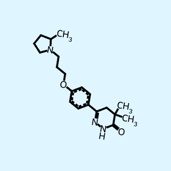 CC1CCCN1CCCOc1ccc(C2=NNC(=O)C(C)(C)C2)cc1